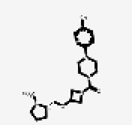 N#Cc1ccc(N2CCN(C(=O)N3CC(OC[C@@H]4CCCN4C(=O)O)C3)CC2)nc1